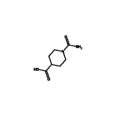 NC(=O)N1CCC(C(=O)O)CC1